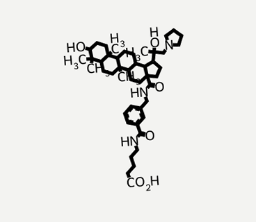 CC(O)(CN1CCCC1)C1CCC2(C(=O)NCc3cccc(C(=O)NCCCCC(=O)O)c3)CCC3C(CCC4C3(C)CCC3C(C)(C)C(O)CCC34C)C12